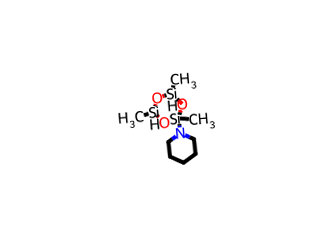 C[SiH]1O[SiH](C)O[Si](C)(N2CCCCC2)O1